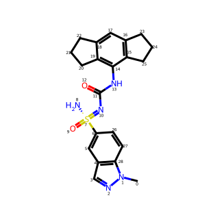 Cn1ncc2cc([S@@](N)(=O)=NC(=O)Nc3c4c(cc5c3CCC5)CCC4)ccc21